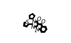 Cn1c2ccccc2c(=O)c2c(=O)n(C3CCCC3)c(-c3cccs3)nc21